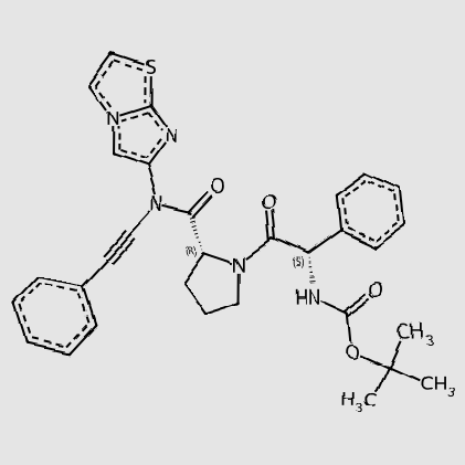 CC(C)(C)OC(=O)N[C@H](C(=O)N1CCC[C@@H]1C(=O)N(C#Cc1ccccc1)c1cn2ccsc2n1)c1ccccc1